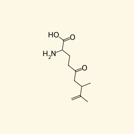 C=C(C)C(C)CC(=O)CCC(N)C(=O)O